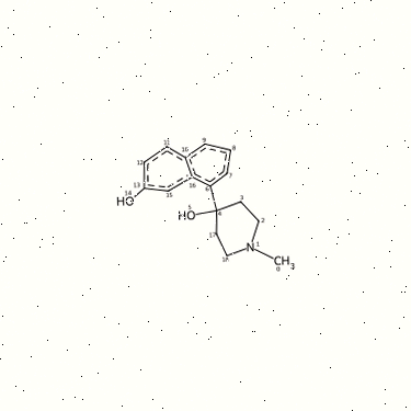 CN1CCC(O)(c2cccc3ccc(O)cc23)CC1